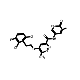 Cc1cc(NC(=O)c2cc(OCCc3c(Cl)ccc(F)c3Cl)c(N)nn2)c[nH]c1=O